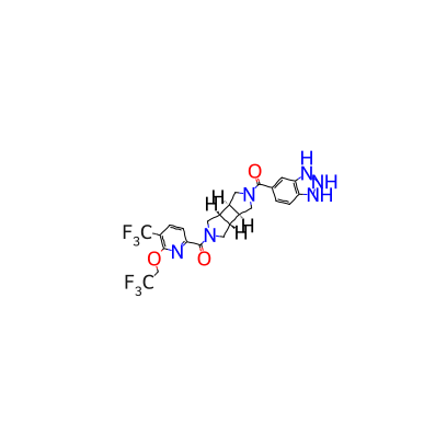 O=C(c1ccc2c(c1)NNN2)N1C[C@@H]2[C@H](C1)[C@H]1CN(C(=O)c3ccc(C(F)(F)F)c(OCC(F)(F)F)n3)C[C@@H]21